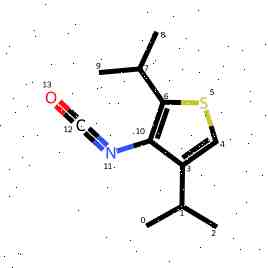 CC(C)c1csc(C(C)C)c1N=C=O